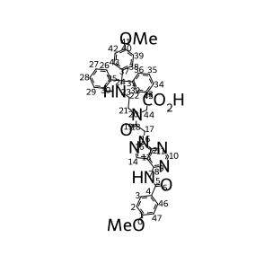 COc1ccc(C(=O)Nc2ncnc3c2cnn3CC(=O)N(CCNC(c2ccccc2)(c2ccccc2)c2ccc(OC)cc2)CC(=O)O)cc1